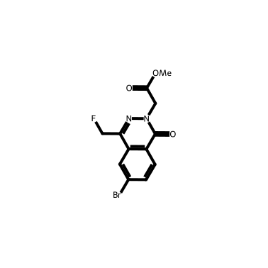 COC(=O)Cn1nc(CF)c2cc(Br)ccc2c1=O